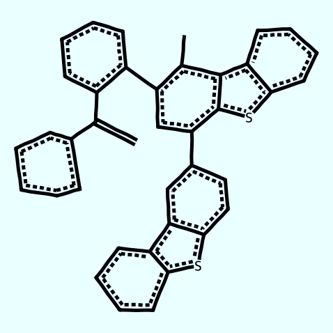 C=C(c1ccccc1)c1ccccc1-c1cc(-c2ccc3sc4ccccc4c3c2)c2sc3ccccc3c2c1C